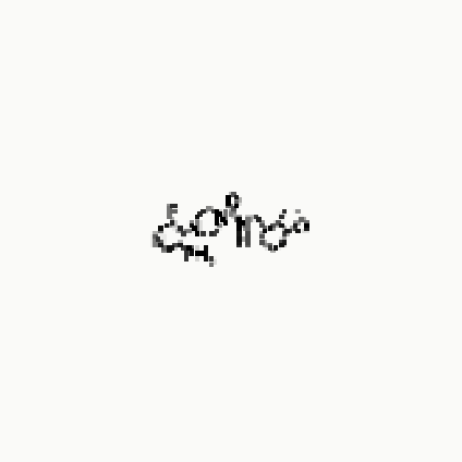 O=C(NCc1cccc2c1CCO2)N1CCN(c2c(F)cncc2P)CC1